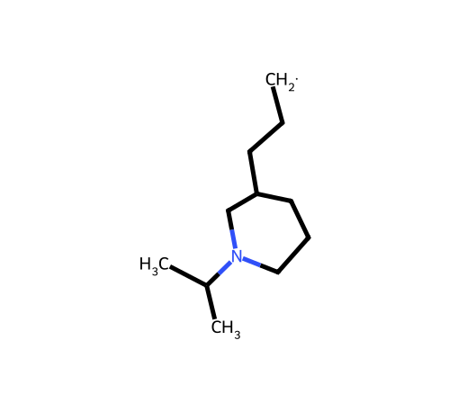 [CH2]CCC1CCCN(C(C)C)C1